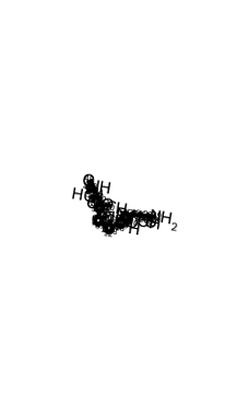 COc1nc(-c2cccc(-c3cccc(-c4ccn5c(=O)c(CNCC(O)CC(N)=O)cnc5c4)c3Cl)c2Cl)ccc1CN(C[C@@H]1CCC(=O)N1)C(=O)O